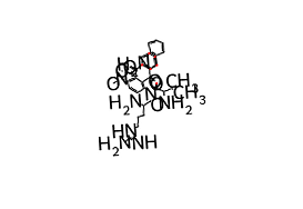 CC(C)C(N)C(=O)N(C(=O)C(N)CCCNC(=N)N)c1ccc([N+](=O)[O-])c(C(=O)c2ccccc2)c1C(=O)C(N)Cc1ccccc1